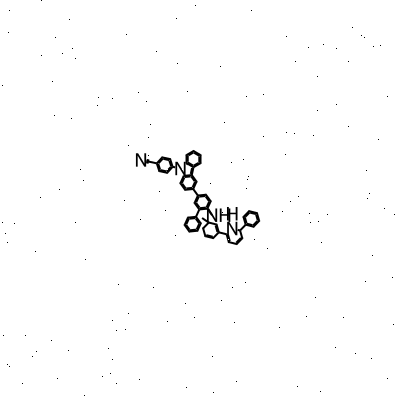 CC1(Nc2ccc(-c3ccc4c(c3)c3ccccc3n4-c3ccc(C#N)cc3)cc2-c2ccccc2)C=C(C2=CC=CC(c3ccccc3)N2)C=CC1